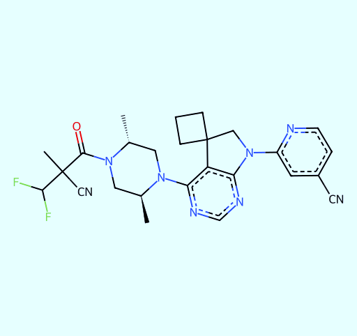 C[C@@H]1CN(c2ncnc3c2C2(CCC2)CN3c2cc(C#N)ccn2)[C@@H](C)CN1C(=O)C(C)(C#N)C(F)F